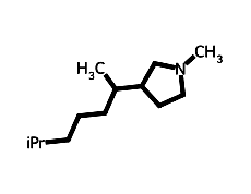 CC(C)CCCC(C)C1CCN(C)C1